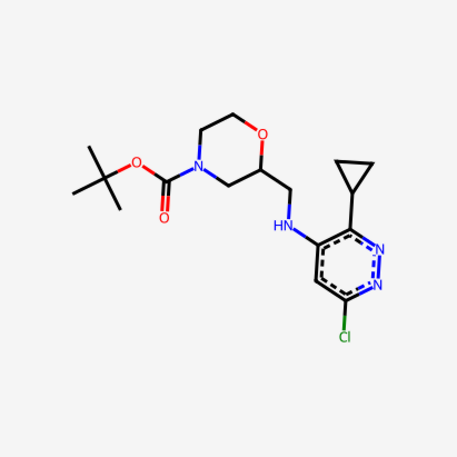 CC(C)(C)OC(=O)N1CCOC(CNc2cc(Cl)nnc2C2CC2)C1